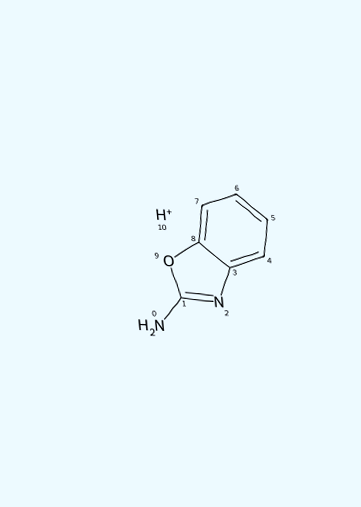 Nc1nc2ccccc2o1.[H+]